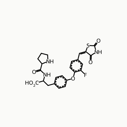 O=C1NC(=O)/C(=C\c2ccc(Oc3ccc(CC(NC(=O)C4CCCN4)C(=O)O)cc3)c(F)c2)S1